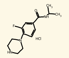 CC(C)NC(=O)c1ccc(N2CCNCC2)c(F)c1.Cl